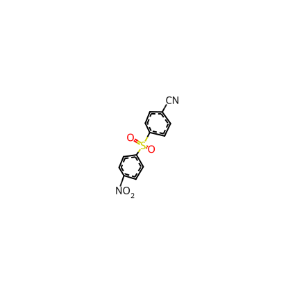 N#Cc1ccc(S(=O)(=O)c2ccc([N+](=O)[O-])cc2)cc1